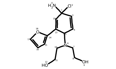 NC1(Cl)C=CC(N(CCO)CCO)C(c2ccco2)=C1